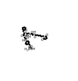 BP(=O)(O)OCc1ccc(NC(=O)CNC(=O)[C@H](Cc2ccccc2)NC(=O)CNC(=O)CNC(=O)CCCCCN2C(=O)CCC2=O)cc1